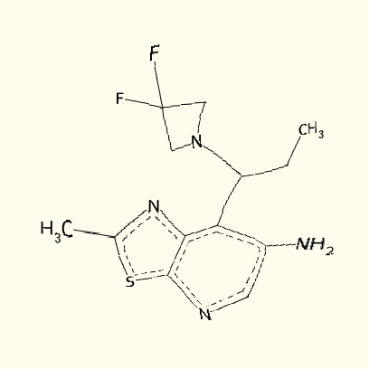 CCC(c1c(N)cnc2sc(C)nc12)N1CC(F)(F)C1